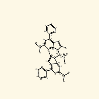 CC1=Cc2c(-c3ccccc3)cc(C(C)C)cc2[CH]1[Zr]([CH]1C(C)=Cc2c(-c3ccccc3)cc(C(C)C)cc21)[SiH](C)C